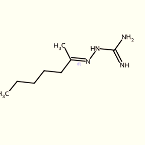 CCCCC/C(C)=N/NC(=N)N